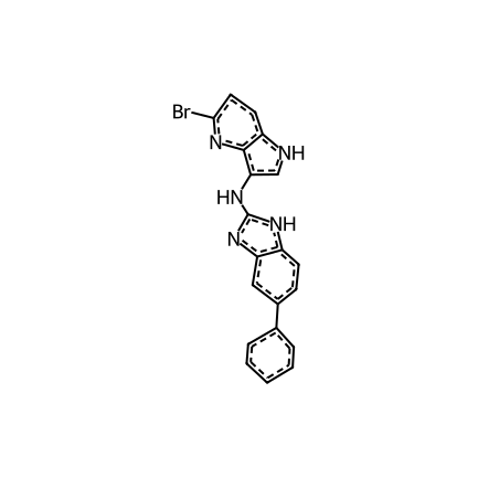 Brc1ccc2[nH]cc(Nc3nc4cc(-c5ccccc5)ccc4[nH]3)c2n1